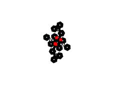 c1ccc(N2c3ccccc3C3(c4ccccc42)c2cc(-c4cccc(-n5c6ccccc6c6ccccc65)c4)oc2C2(c4ccccc4N(c4ccccc4)c4ccccc42)c2cc(-c4cccc(-n5c6ccccc6c6ccccc65)c4)oc23)cc1